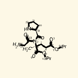 CC(C)OC(=O)CC[C@@](C)(C(=O)OC(C)C)N(C(=O)CN)C(=O)[C@@H]1CCCN1